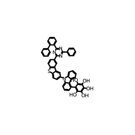 Oc1c(O)c(O)c(-c2cccc3c2c2ccccc2n3-c2ccc3sc4ccc(-c5nc(-c6ccccc6)nc(-c6ccccc6-c6ccccc6)n5)cc4c3c2)c(O)c1O